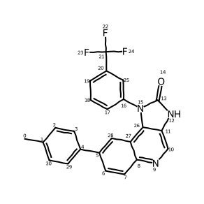 Cc1ccc(-c2ccc3ncc4[nH]c(=O)n(-c5cccc(C(F)(F)F)c5)c4c3c2)cc1